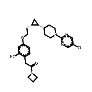 N#Cc1cc(OCC[C@@H]2C[C@@H]2C2CCN(c3ncc(Cl)cn3)CC2)ccc1CC(=O)N1CCC1